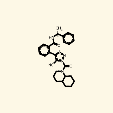 C[C@@H](NC(=O)c1ccccc1-c1nnn(C(=O)N2CCCC3CCCCC32)c1C#N)c1ccccc1